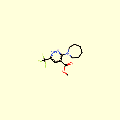 COC(=O)c1cc(C(F)(F)F)nnc1N1CCCCCC1